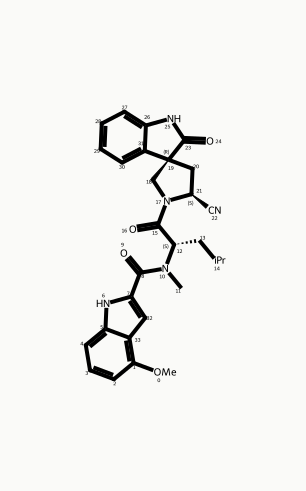 COc1cccc2[nH]c(C(=O)N(C)[C@@H](CC(C)C)C(=O)N3C[C@]4(C[C@H]3C#N)C(=O)Nc3ccccc34)cc12